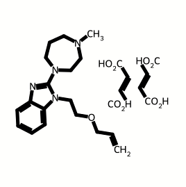 C=CCOCCn1c(N2CCCN(C)CC2)nc2ccccc21.O=C(O)C=CC(=O)O.O=C(O)C=CC(=O)O